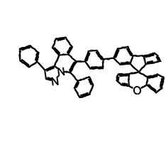 c1ccc(-c2cnn3c(-c4ccccc4)c(-c4ccc(-c5ccc6c(c5)C5(c7ccccc7Oc7ccccc75)c5ccccc5-6)cc4)c4ccccc4c23)cc1